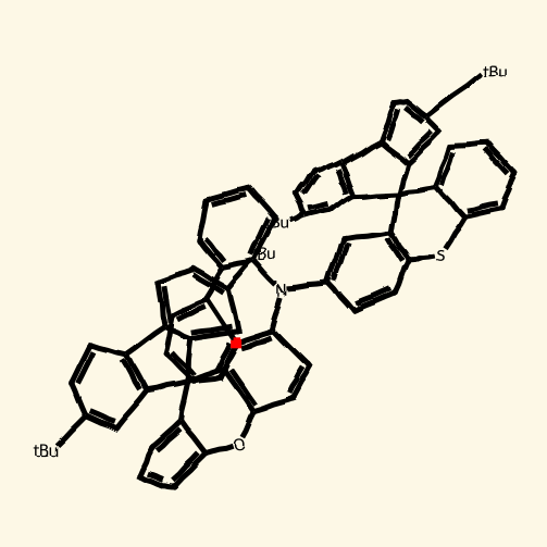 CC(C)(C)c1ccc2c(c1)C1(c3ccccc3Oc3ccc(N(c4ccc5c(c4)C4(c6ccccc6S5)c5cc(C(C)(C)C)ccc5-c5ccc(C(C)(C)C)cc54)c4ccccc4-c4ccccc4)cc31)c1cc(C(C)(C)C)ccc1-2